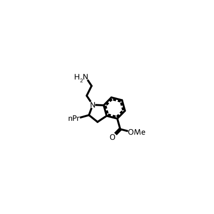 CCCC1Cc2c(C(=O)OC)cccc2N1CCN